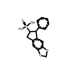 O=P(O)(O)C1Cc2cc3c(cc2C1c1ccccc1)OCO3